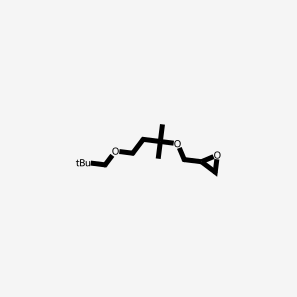 CC(C)(C)COCCC(C)(C)OCC1CO1